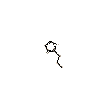 CC[CH]c1nccs1